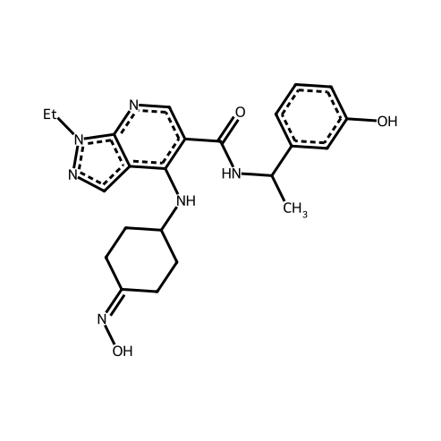 CCn1ncc2c(NC3CCC(=NO)CC3)c(C(=O)NC(C)c3cccc(O)c3)cnc21